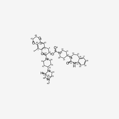 Cc1cc(CC(OC(=O)N2CCC(N3CCc4ccccc4NC3=O)CC2)C(=O)N2CCC(N3CC4C[C@@H]3CN4C)CC2)cc2c1OCCO2